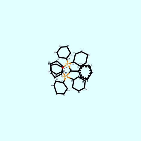 c1ccc(C([PH](C2CCCCC2)(C2CCCCC2)C2CCCCC2)[PH](C2CCCCC2)(C2CCCCC2)C2CCCCC2)cc1